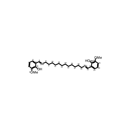 COc1cccc(C=NCCCCCCCCCCCCN=Cc2cccc(OC)c2O)c1O